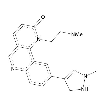 CNCCn1c(=O)ccc2cnc3ccc(C4=CN(C)NC4)cc3c21